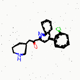 O=C(CC1CCCNC1)c1cc(-c2ccccc2Cl)c2ccccc2n1